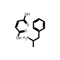 CC(N)Cc1ccccc1.O=C(O)/C=C\C(=O)O